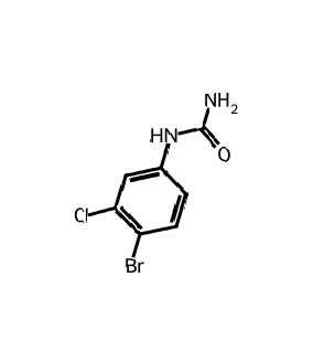 NC(=O)Nc1ccc(Br)c(Cl)c1